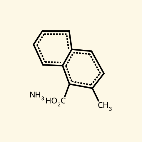 Cc1ccc2ccccc2c1C(=O)O.N